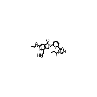 CC[C@H](C)n1cnnc1-c1cccc(N2Cc3c(cc(N(C)CC)nc3CNC)C2=O)n1